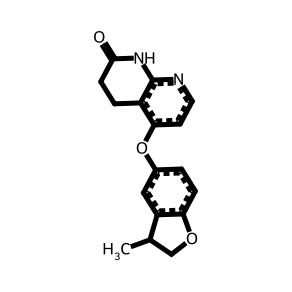 CC1COc2ccc(Oc3ccnc4c3CCC(=O)N4)cc21